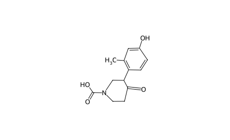 Cc1cc(O)ccc1C1CN(C(=O)O)CCC1=O